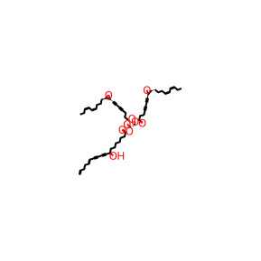 C=CCC/C=C/C#CC#CC(O)CCCCCCC(=O)O[C@@H](COC(=O)CCC#CC#C[C@H]1O[C@@H]1CCC/C=C\C=C/CC)OC(=O)CCC#CC#C[C@H]1O[C@@H]1CCC/C=C\C=C/CC